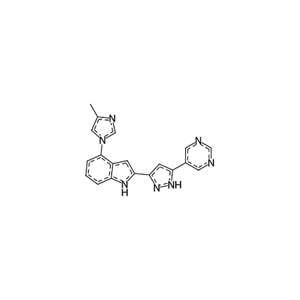 Cc1cn(-c2cccc3[nH]c(-c4cc(-c5cncnc5)[nH]n4)cc23)cn1